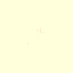 CC(=O)OCC1O[C@H]2CCC(=O)N[C@H]2C2OC(C)(C)OC12